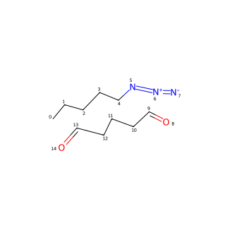 CCCCCN=[N+]=[N-].O=CCCCC=O